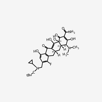 CN(C)[C@@H]1C(O)=C(C(N)=O)C(=O)[C@@]2(O)C(O)=C3C(=O)c4c(O)cc(CN(CC(C)(C)C)C5CC5)c(F)c4C[C@H]3C[C@@H]12